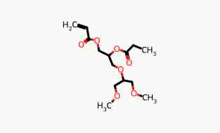 C=CC(=O)OCC(COC(COC)COC)OC(=O)CC